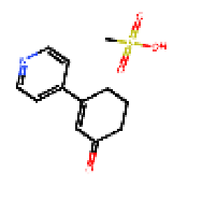 CS(=O)(=O)O.O=C1C=C(c2ccncc2)CCC1